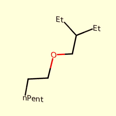 [CH2]CCCCCCOCC(CC)CC